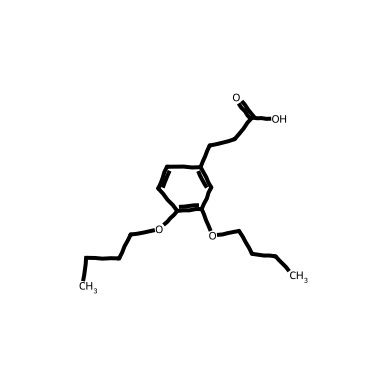 CCCCOc1ccc(CCC(=O)O)cc1OCCCC